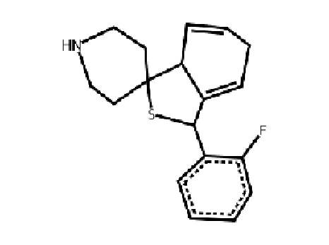 Fc1ccccc1C1SC2(CCNCC2)C2C=CCC=C12